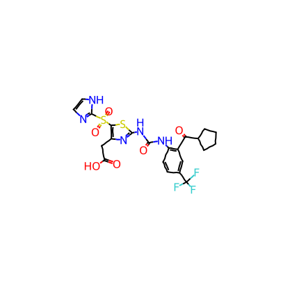 O=C(O)Cc1nc(NC(=O)Nc2ccc(C(F)(F)F)cc2C(=O)C2CCCC2)sc1S(=O)(=O)c1ncc[nH]1